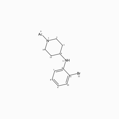 [CH2]C(=O)N1CCC(Nc2ccccc2Br)CC1